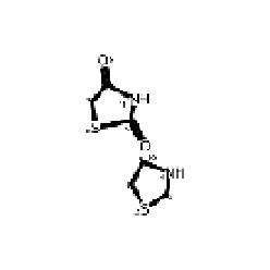 C1CSCN1.O=C1CSC(=O)N1